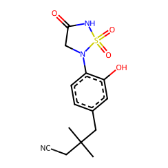 CC(C)(CC#N)Cc1ccc(N2CC(=O)NS2(=O)=O)c(O)c1